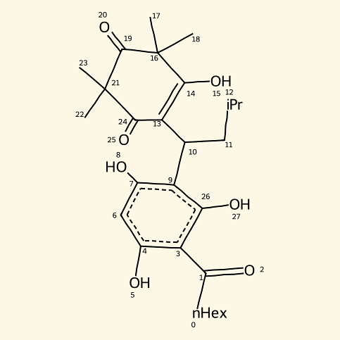 CCCCCCC(=O)c1c(O)cc(O)c(C(CC(C)C)C2=C(O)C(C)(C)C(=O)C(C)(C)C2=O)c1O